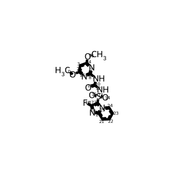 COc1cc(OC)nc(NC(=O)NS(=O)(=O)c2c(F)nc3ccccn23)n1